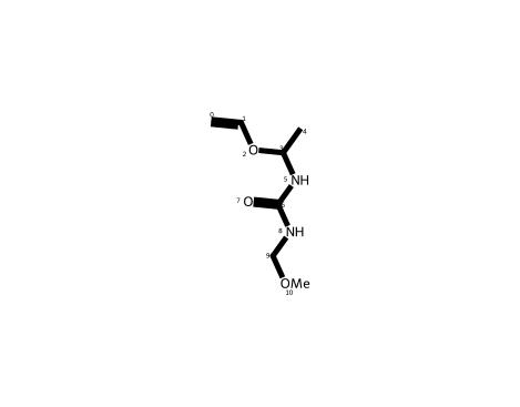 C=COC(C)NC(=O)NCOC